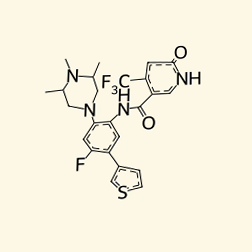 CC1CN(c2cc(F)c(-c3ccsc3)cc2NC(=O)c2c[nH]c(=O)cc2C(F)(F)F)CC(C)N1C